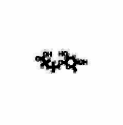 CC1OC(OCC(C)(C)CC(C)(C)C(=O)O)C(O)CC1O